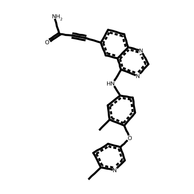 Cc1ccc(Oc2ccc(Nc3ncnc4ccc(C#CC(N)=O)cc34)cc2C)cn1